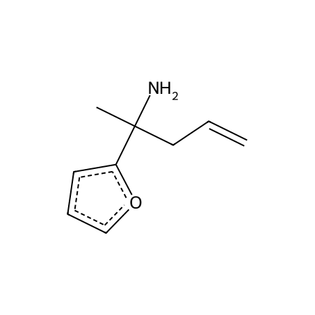 C=CCC(C)(N)c1ccco1